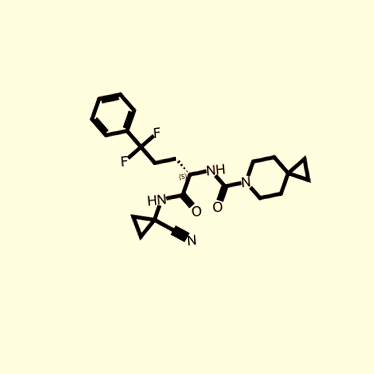 N#CC1(NC(=O)[C@H](CCC(F)(F)c2ccccc2)NC(=O)N2CCC3(CC2)CC3)CC1